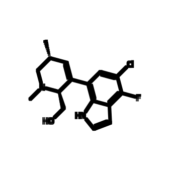 C[C@@H]1C=C(c2cc(Cl)c(F)c3cc[nH]c23)[C@@H](CO)N(C)C1